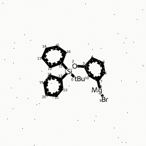 CC(C)(C)[Si](Oc1ccc[c]([Mg][Br])c1)(c1ccccc1)c1ccccc1